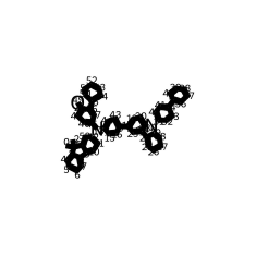 CC1(C)c2ccccc2-c2ccc(N(c3ccc(-c4ccc5c(c4)c4ccccc4n5-c4ccc(-c5ccccc5)cc4)cc3)c3ccc4oc5ccccc5c4c3)cc21